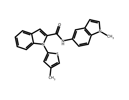 Cc1csc(-n2c(C(=O)Nc3ccc4c(ccn4C)c3)cc3ccccc32)c1